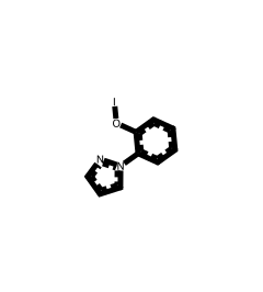 IOc1ccccc1-n1cccn1